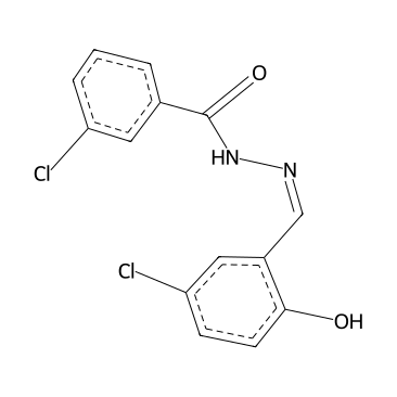 O=C(N/N=C\c1cc(Cl)ccc1O)c1cccc(Cl)c1